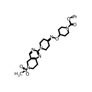 CC(C)OC(=O)N1CCC(ON=C2CCN(c3ncc4c(n3)CCN(S(C)(=O)=O)C4)CC2)CC1